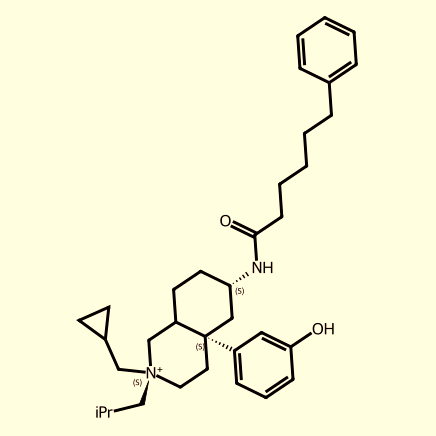 CC(C)C[N@+]1(CC2CC2)CC[C@]2(c3cccc(O)c3)C[C@@H](NC(=O)CCCCCc3ccccc3)CCC2C1